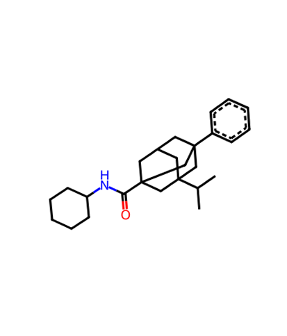 CC(C)C12CC3CC(C(=O)NC4CCCCC4)(CC(c4ccccc4)(C3)C1)C2